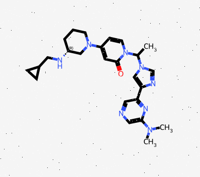 CC(n1cnc(-c2cncc(N(C)C)n2)c1)n1ccc(N2CCC[C@@H](NCC3CC3)C2)cc1=O